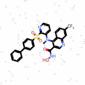 CN(c1cccnc1S(=O)(=O)c1ccc(-c2ccccc2)cc1)c1c(C(=O)NO)cnc2cc(C(F)(F)F)ccc12